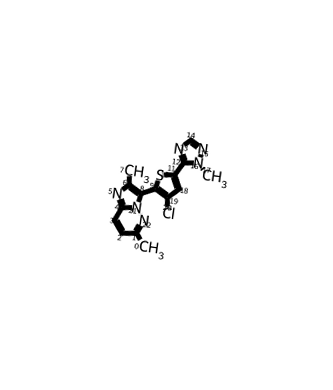 Cc1ccc2nc(C)c(-c3sc(-c4ncnn4C)cc3Cl)n2n1